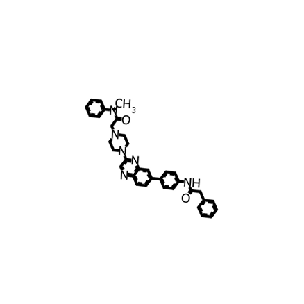 CN(C(=O)CN1CCN(c2cnc3ccc(-c4ccc(NC(=O)Cc5ccccc5)cc4)cc3n2)CC1)c1ccccc1